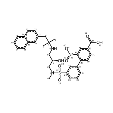 CN(C[C@H](O)CNC(C)(C)Cc1ccc2ccccc2c1)S(=O)(=O)c1cccc(-c2ccc(C(=O)O)cc2[N+](=O)[O-])c1